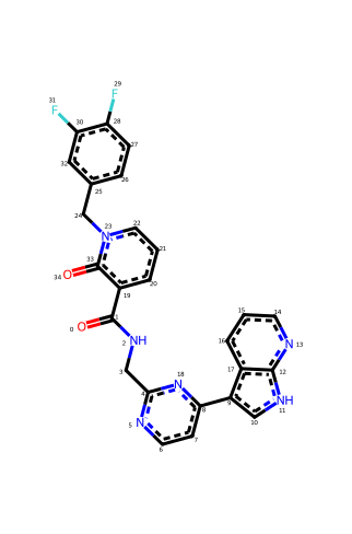 O=C(NCc1nccc(-c2c[nH]c3ncccc23)n1)c1cccn(Cc2ccc(F)c(F)c2)c1=O